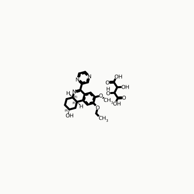 CCOc1cc2c(cc1OC)C(c1cnccn1)=N[C@@H]1CC[C@@H](O)C[C@H]21.O=C(O)C(O)C(O)C(=O)O